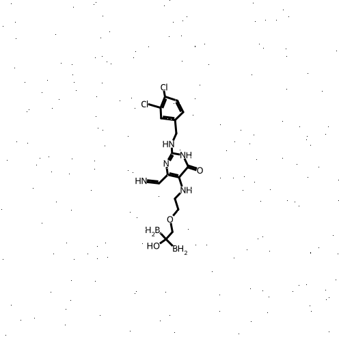 BC(B)(O)COCCNc1c(C=N)nc(NCc2ccc(Cl)c(Cl)c2)[nH]c1=O